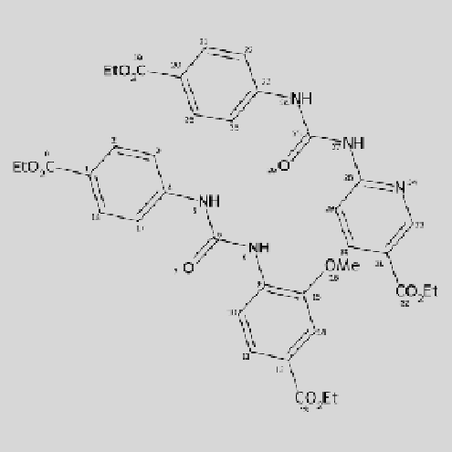 CCOC(=O)c1ccc(NC(=O)Nc2ccc(C(=O)OCC)cc2OC)cc1.CCOC(=O)c1ccc(NC(=O)Nc2ccc(C(=O)OCC)cn2)cc1